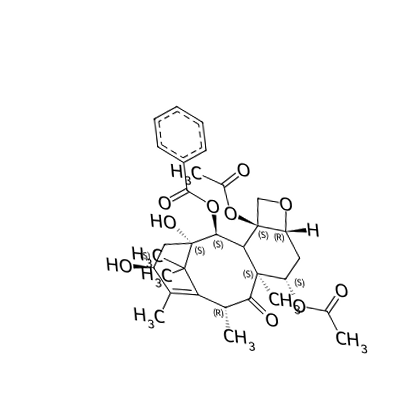 CC(=O)O[C@H]1C[C@H]2OC[C@@]2(OC(C)=O)C2[C@H](OC(=O)c3ccccc3)[C@]3(O)C[C@H](O)C(C)=C([C@@H](C)C(=O)[C@@]21C)C3(C)C